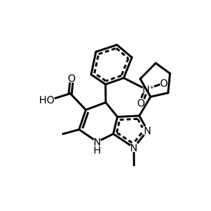 CC1=C(C(=O)O)C(c2ccccc2[N+](=O)[O-])c2c(C3CCCC3)nn(C)c2N1